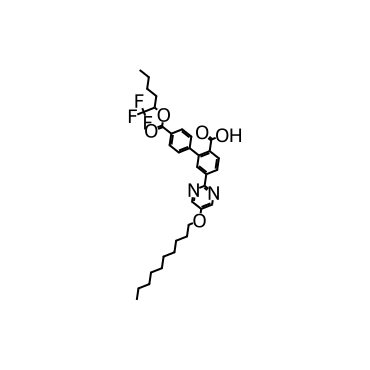 CCCCCCCCCCOc1cnc(-c2ccc(C(=O)O)c(-c3ccc(C(=O)OC(CCCC)C(F)(F)F)cc3)c2)nc1